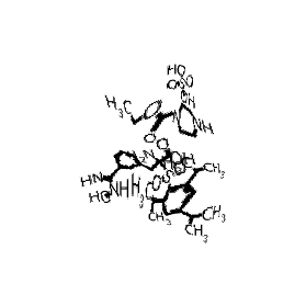 CC(C)c1cc(C(C)C)c(S(=O)(=O)C(N)(Cc2cccc(C(=N)NO)c2)C(=O)O)c(C(C)C)c1.CCOC(=O)N1CCNCC1.O=S(=O)(O)O